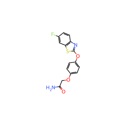 NC(=O)COc1ccc(Oc2nc3ccc(F)cc3s2)cc1